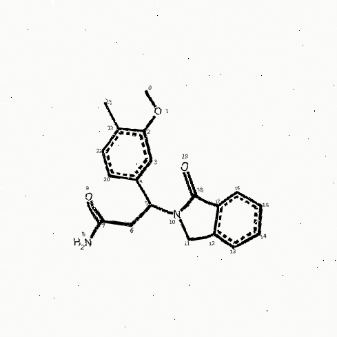 COc1cc(C(CC(N)=O)N2Cc3ccccc3C2=O)ccc1C